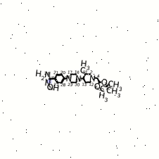 CC1CN(CC(=O)OC(C)(C)C)CCC1N1CCN(c2ccc(/C(N)=N\O)cc2)CC1